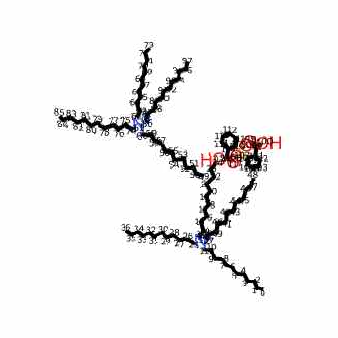 CCCCCCCCCCCC[N+](CCCCCCCCCCCC)(CCCCCCCCCCCC)CCCCCCCCCCCC.CCCCCCCCCCCC[N+](CCCCCCCCCCCC)(CCCCCCCCCCCC)CCCCCCCCCCCC.O=C(O)c1ccccc1S(=O)(=O)c1ccccc1C(=O)O